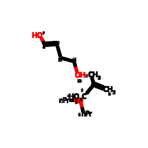 C=C(C)C(=O)O.CCCOCCC.OC=CCCO